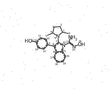 CC1CCC(C)N1c1c(-c2ccc(O)cc2)c2ccccc2n1/C(N)=N/O